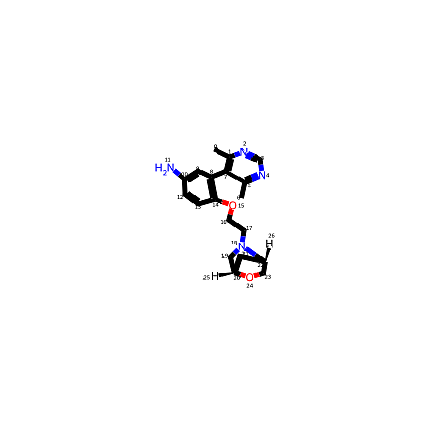 Cc1ncnc(C)c1-c1cc(N)ccc1OCCN1C[C@@H]2C[C@H]1CO2